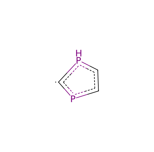 [c]1pcc[pH]1